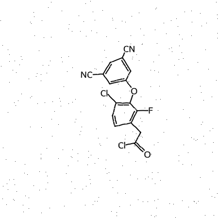 N#Cc1cc(C#N)cc(Oc2c(Cl)ccc(CC(=O)Cl)c2F)c1